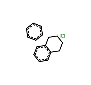 Cl.c1ccc2c(c1)CCCC2.c1ccccc1